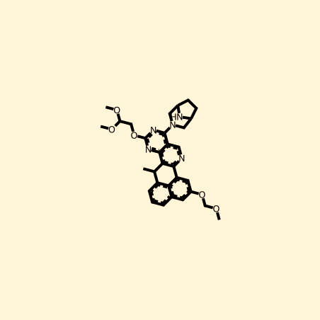 COCOc1cc2c3c(cccc3c1)C(C)c1c-2ncc2c(N3CC4CCC(C3)N4)nc(OCC(OC)OC)nc12